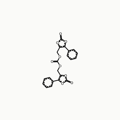 O=C(OCc1oc(=O)oc1-c1ccccc1)OCc1oc(=O)oc1-c1ccccc1